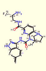 C=C(C)/C=C\c1c(NC(=O)N2c3nc(C(=O)NC[C@@H](N)C(F)(F)F)ccc3N3CC[C@H]2C3)n[nH]c1C